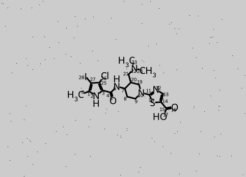 Cc1[nH]c(C(=O)NC2CCN(c3ncc(C(=O)O)s3)CC2CN(C)C)c(Cl)c1I